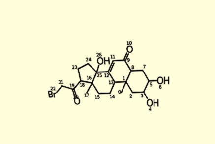 CC12CC(O)C(O)CC1C(=O)C=C1C2CCC2(C)C(C(=O)CBr)CCC12O